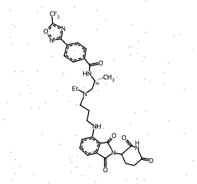 CCN(CCCNc1cccc2c1C(=O)N(C1CCC(=O)NC1=O)C2=O)C[C@@H](C)NC(=O)c1ccc(-c2noc(C(F)(F)F)n2)cc1